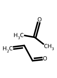 C=CC=O.CC(C)=O